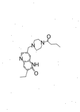 CCCC(=O)N1CCN(Cc2cnc3cc(CC)c(=O)[nH]c3c2)CC1